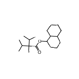 CC(C)C(C)(C(=O)OC1CCCC2CCCCC21)C(C)C